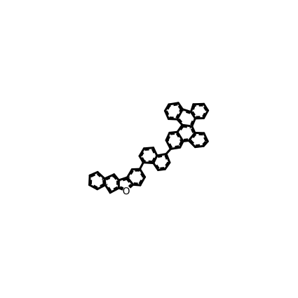 c1ccc2cc3c(cc2c1)oc1ccc(-c2cccc4c(-c5ccc6c(c5)c5ccccc5c5c7ccccc7c7ccccc7c65)cccc24)cc13